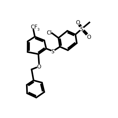 CS(=O)(=O)c1ccc(Sc2cc(C(F)(F)F)ccc2OCc2ccccc2)c(Cl)c1